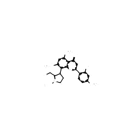 COc1ccc(-c2cc(=O)c3c(OC)cc(OC)c(C4CCN(C)C4CO)c3o2)c(Cl)c1